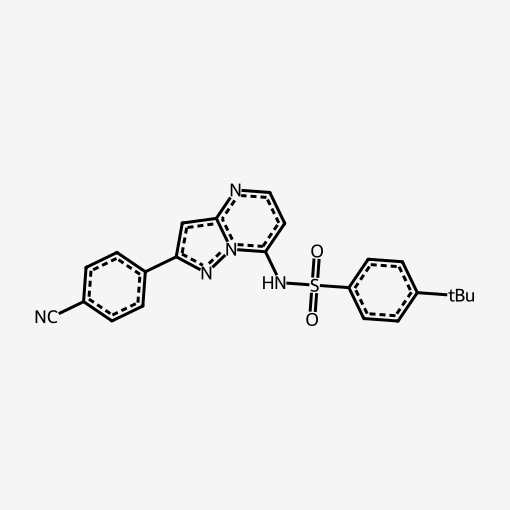 CC(C)(C)c1ccc(S(=O)(=O)Nc2ccnc3cc(-c4ccc(C#N)cc4)nn23)cc1